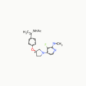 C=Nc1nccc(N2CC[C@@H](Oc3ccc([C@H](C)NC(C)=O)cc3)C2)c1F